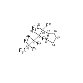 FC(F)(F)C(F)(F)C(F)(F)C(F)(F)C(F)(C1=CCCC1)C(F)(F)F